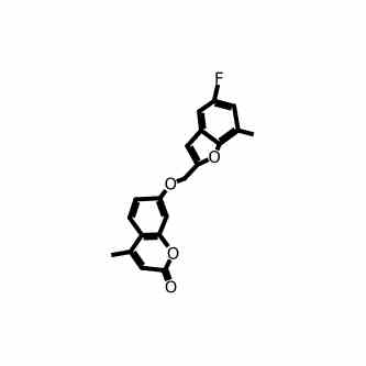 Cc1cc(=O)oc2cc(OCc3cc4cc(F)cc(C)c4o3)ccc12